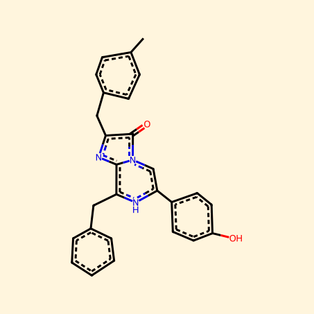 Cc1ccc(Cc2nc3c(Cc4ccccc4)[nH]c(-c4ccc(O)cc4)cn-3c2=O)cc1